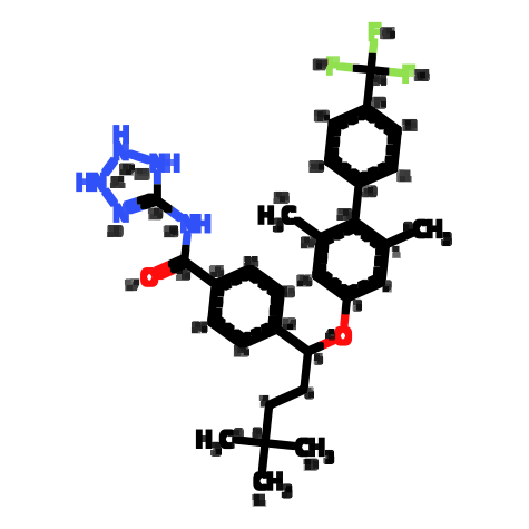 Cc1cc(OC(CCC(C)(C)C)c2ccc(C(=O)NC3=NNNN3)cc2)cc(C)c1-c1ccc(C(F)(F)F)cc1